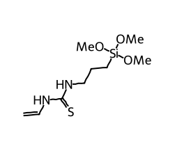 C=CNC(=S)NCCC[Si](OC)(OC)OC